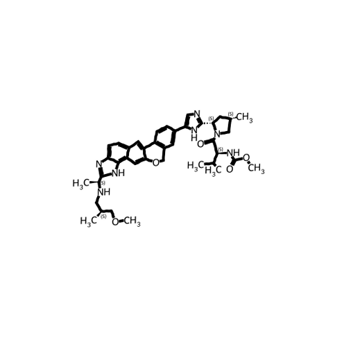 COC[C@@H](C)CN[C@@H](C)c1nc2ccc3cc4c(cc3c2[nH]1)OCc1cc(-c2cnc([C@@H]3C[C@H](C)CN3C(=O)[C@@H](NC(=O)OC)C(C)C)[nH]2)ccc1-4